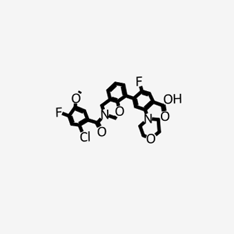 COc1cc(C(=O)N2COc3c(cccc3-c3cc(N4CCOCC4)c(C(=O)O)cc3F)C2)c(Cl)cc1F